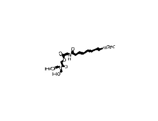 CCCCCCCCCCCCCCCCCC(=O)NCC(=O)OCC(Cl)N(CO)CO